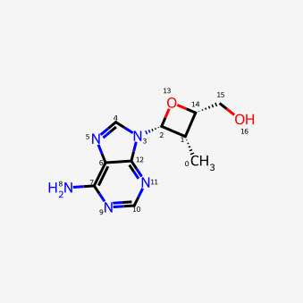 C[C@@H]1[C@H](n2cnc3c(N)ncnc32)O[C@@H]1CO